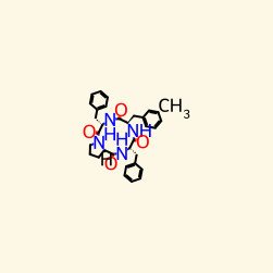 Cc1cccc(C[C@H]2NC(=O)[C@H](Cc3ccccc3)NC(=O)[C@H]3CCCN3C(=O)[C@H](Cc3ccccc3)NC2=O)c1